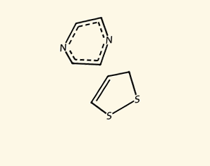 C1=CSSC1.c1cnccn1